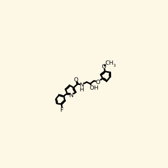 COc1cccc(OCC(O)CNC(=O)c2ccc(-c3cccc(F)c3)nc2)c1